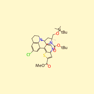 COC(=O)c1cc2nccc(-c3cc(Cl)cc4c3N([C@@H]3CN(C(=O)OC(C)(C)C)[C@](C)(CO[Si](C)(C)C(C)(C)C)C3)CCC4)c2s1